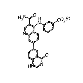 CCOC(=O)c1cccc(Nc2c(C(N)=O)cnc3cc(-c4ccc5[nH]cnc(=O)c5c4)ccc23)c1